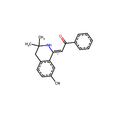 CC1(C)Cc2ccc(C#N)cc2/C(=C/C(=O)c2ccccc2)N1